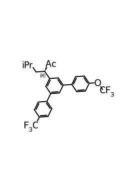 CC(=O)[C@H](CC(C)C)c1cc(-c2ccc(OC(F)(F)F)cc2)cc(-c2ccc(C(F)(F)F)cc2)c1